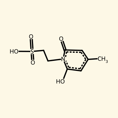 Cc1cc(O)n(CCS(=O)(=O)O)c(=O)c1